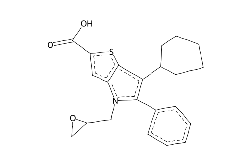 O=C(O)c1cc2c(s1)c(C1CCCCC1)c(-c1ccccc1)n2CC1CO1